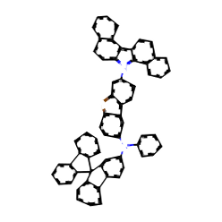 c1ccc(N(c2ccc3c(c2)C2(c4ccccc4-c4ccccc42)c2ccccc2-3)c2ccc3sc4cc(-n5c6ccc7ccccc7c6c6ccc7ccccc7c65)ccc4c3c2)cc1